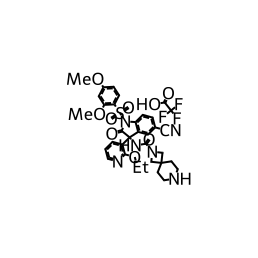 CCOc1ncccc1C1(NC(=O)N2CC3(CCNCC3)C2)C(=O)N(S(=O)(=O)c2ccc(OC)cc2OC)c2ccc(C#N)cc21.O=C(O)C(F)(F)F